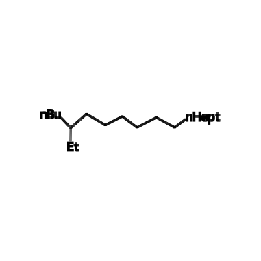 C[CH]CCC(CC)CCCCCCCCCCCCC